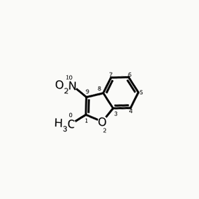 Cc1oc2ccccc2c1[N+](=O)[O-]